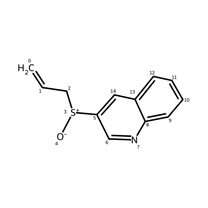 C=CC[S+]([O-])c1cnc2ccccc2c1